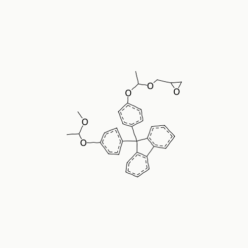 COC(C)Oc1ccc(C2(c3ccc(OC(C)OCC4CO4)cc3)c3ccccc3-c3ccccc32)cc1